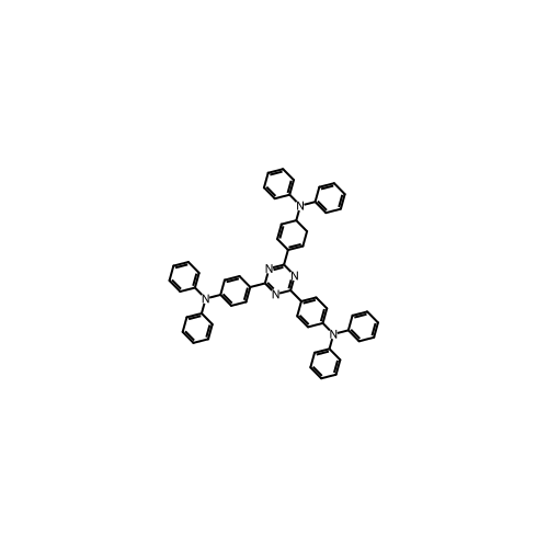 C1=CC(N(c2ccccc2)c2ccccc2)CC=C1c1nc(-c2ccc(N(c3ccccc3)c3ccccc3)cc2)nc(-c2ccc(N(c3ccccc3)c3ccccc3)cc2)n1